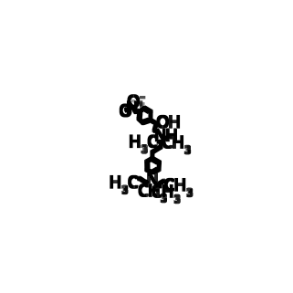 CCC(C)N(c1ccc(CCC(C)(C)NCC(O)c2ccc([N+](=O)[O-])cc2)cc1)C(C)CC